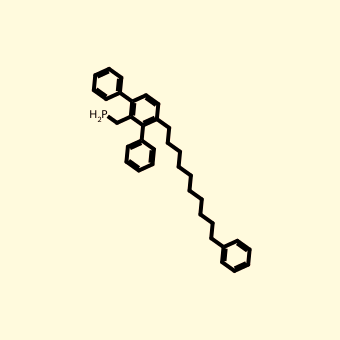 PCc1c(-c2ccccc2)ccc(CCCCCCCCCCc2ccccc2)c1-c1ccccc1